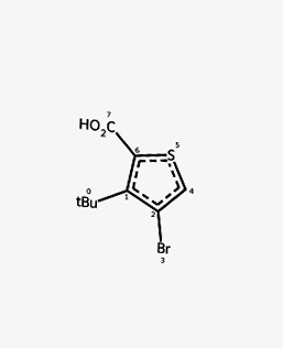 CC(C)(C)c1c(Br)csc1C(=O)O